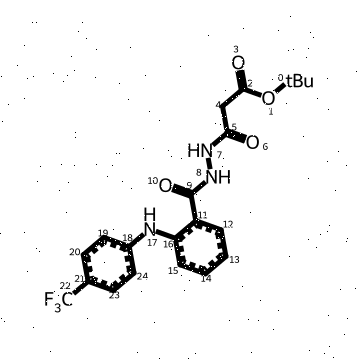 CC(C)(C)OC(=O)CC(=O)NNC(=O)c1ccccc1Nc1ccc(C(F)(F)F)cc1